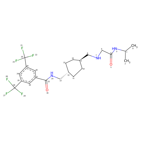 CC(C)NC(=O)CNC[C@H]1CC[C@H](CNC(=O)c2cc(C(F)(F)F)cc(C(F)(F)F)c2)CC1